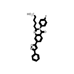 O=C(O)CCCCc1nc2cc(-c3cc(-c4ccccc4)no3)ccc2c(=O)n1-c1ccc(F)cc1